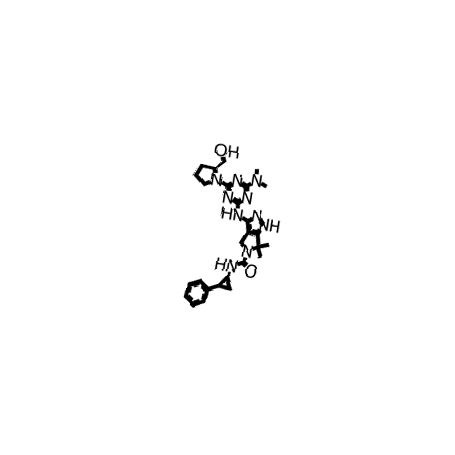 CN(C)c1nc(Nc2n[nH]c3c2CN(C(=O)N[C@H]2CC2c2ccccc2)C3(C)C)nc(N2CCC[C@H]2CO)n1